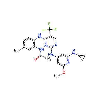 COc1cc(Nc2ncc(C(F)(F)F)c(Nc3ccc(C)cc3NC(C)=O)n2)cc(NC2CC2)n1